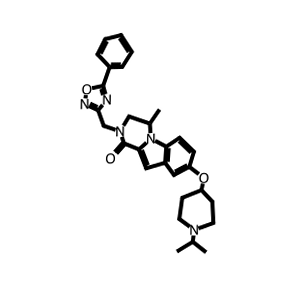 CC(C)N1CCC(Oc2ccc3c(c2)cc2n3C(C)CN(Cc3noc(-c4ccccc4)n3)C2=O)CC1